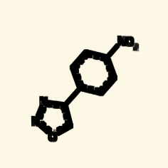 O=[N+]([O-])c1ccc(-c2conn2)cc1